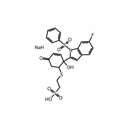 O=C1C=CC(O)(c2cc3ccc(F)cc3n2S(=O)(=O)c2ccccc2)C(SCCS(=O)(=O)O)C1.[NaH]